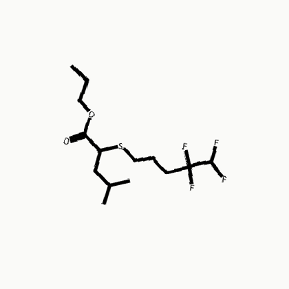 CCCOC(=O)C(CC(C)C)SCCCC(F)(F)C(F)F